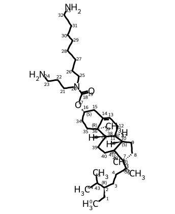 CC[C@H](CC[C@@H](C)[C@H]1CC[C@H]2[C@@H]3CC=C4C[C@@H](OC(=O)N(CCCN)CCCCCCCCN)CC[C@]4(C)[C@H]3CC[C@]12C)C(C)C